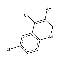 CC(=O)C1=C(Cl)c2cc(Cl)ccc2NC1